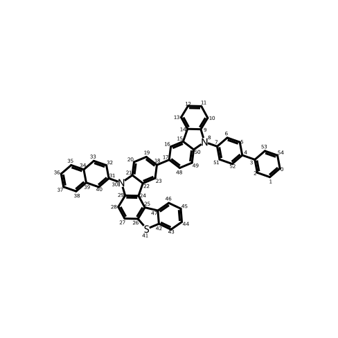 c1ccc(-c2ccc(-n3c4ccccc4c4cc(-c5ccc6c(c5)c5c7c(ccc5n6-c5ccc6ccccc6c5)sc5ccccc57)ccc43)cc2)cc1